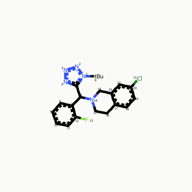 CC(C)(C)n1nnnc1C(c1ccccc1F)N1CCc2ccc(Cl)cc2C1